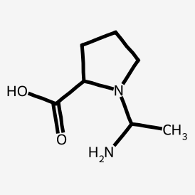 CC(N)N1CCCC1C(=O)O